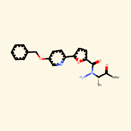 CNC(=O)[C@H](C(C)C)N(N)C(=O)c1ccc(-c2ccc(OCc3ccccc3)cn2)o1